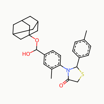 Cc1ccc(C2SCC(=O)N2c2ccc(C(O)OC34CC5CC(CC(C5)C3)C4)cc2C)cc1